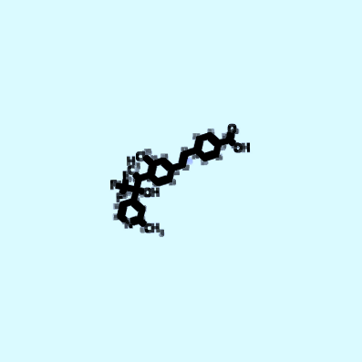 Cc1cc(C(O)(C(C)c2ccc(/C=C/c3ccc(C(=O)O)cc3)cc2Cl)C(F)(F)F)ccn1